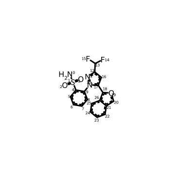 NS(=O)(=O)c1ccccc1-n1nc(C(F)F)cc1-c1occ2ccccc12